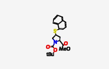 COC(=O)C1CC(Sc2cccc3ccccc23)CN1C(=O)OC(C)(C)C